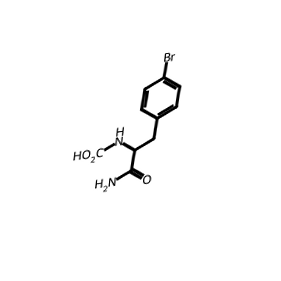 NC(=O)C(Cc1ccc(Br)cc1)NC(=O)O